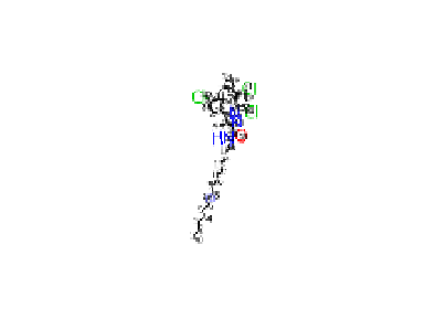 CCCCCCC/C=C/CCCCCCCCNC(=O)c1nn(-c2cc(C3CCC3)c(Cl)cc2Cl)c(-c2ccc(Cl)cc2)c1C